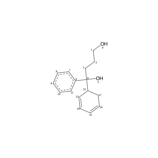 OCCCC(O)(c1ccccc1)C1C=CC=CC1